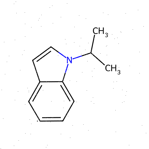 CC(C)n1ccc2c[c]ccc21